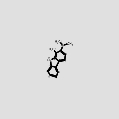 Cc1c(N(C)C)ccc2c1[nH]c1ccccc12